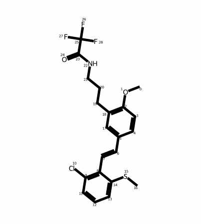 COc1ccc(/C=C/c2c(Cl)cccc2SC)cc1CCCNC(=O)C(F)(F)F